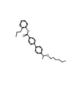 CCCCCCOC(C)c1ccc(-c2ccc(C(=O)Oc3ccccc3CCC)cc2)cc1